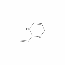 C=CC1NC=CCO1